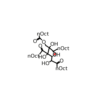 CCCCCCCCC(=O)OCC(O)(C(=O)CCCCCCCC)C(O)(C(=O)CCCCCCCC)C(O)C(O)C(=O)CCCCCCCC